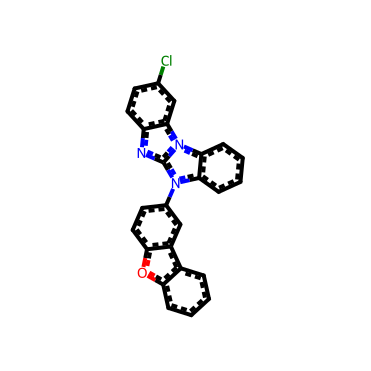 Clc1ccc2nc3n(-c4ccc5oc6ccccc6c5c4)c4ccccc4n3c2c1